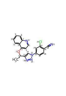 C[C@@H](Oc1ccnc2ccccc12)c1cn(-c2ccc(C#N)c(Cl)c2)nn1